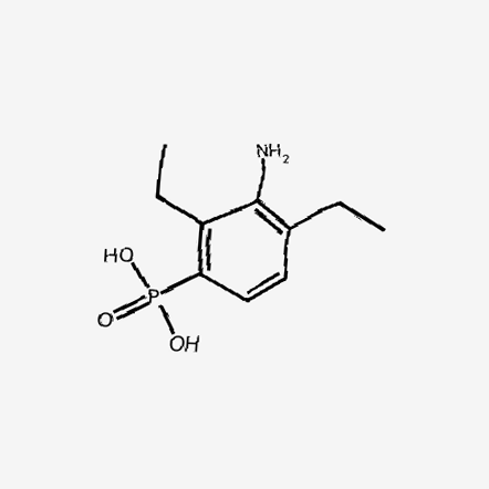 CCc1ccc(P(=O)(O)O)c(CC)c1N